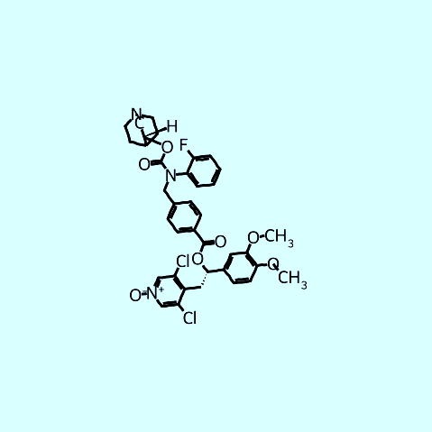 COc1ccc([C@H](Cc2c(Cl)c[n+]([O-])cc2Cl)OC(=O)c2ccc(CN(C(=O)O[C@H]3CN4CCC3CC4)c3ccccc3F)cc2)cc1OC